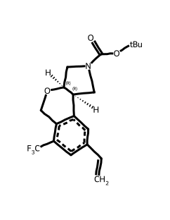 C=Cc1cc2c(c(C(F)(F)F)c1)CO[C@H]1CN(C(=O)OC(C)(C)C)C[C@@H]21